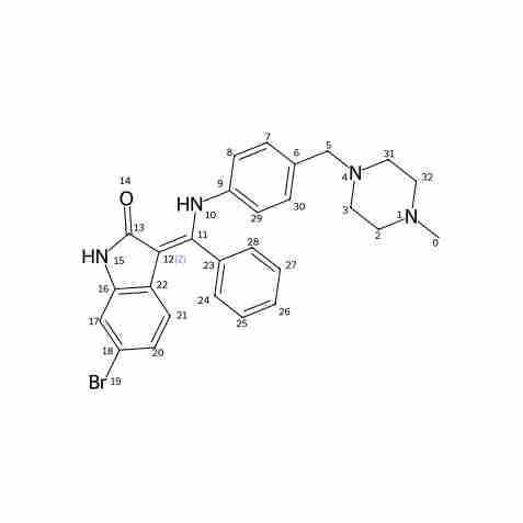 CN1CCN(Cc2ccc(N/C(=C3\C(=O)Nc4cc(Br)ccc43)c3ccccc3)cc2)CC1